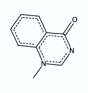 Cn1cnc(=O)c2ccccc21